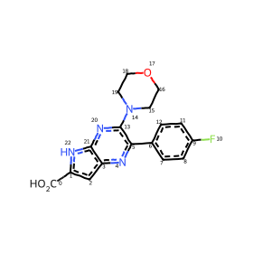 O=C(O)c1cc2nc(-c3ccc(F)cc3)c(N3CCOCC3)nc2[nH]1